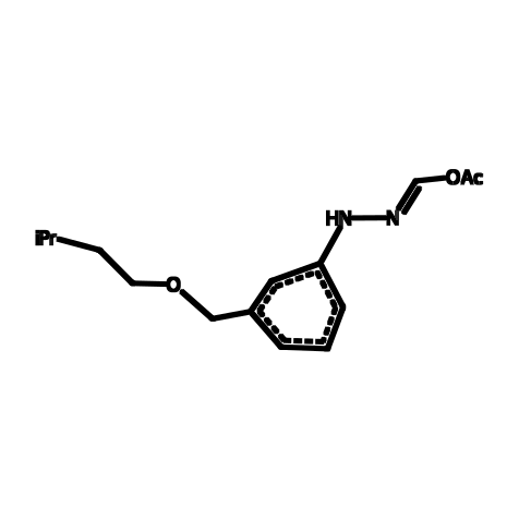 CC(=O)OC=NNc1cccc(COCCC(C)C)c1